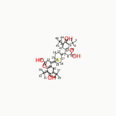 CC(C)(C)c1cc(C(CC(=O)O)C2CCC3SC2CCC3C(CC(=O)O)c2cc(C(C)(C)C)c(O)c(C(C)(C)C)c2)cc(C(C)(C)C)c1O